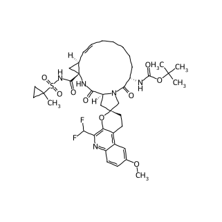 COc1ccc2nc(C(F)F)c3c(c2c1)CC[C@]1(C[C@H]2C(=O)N[C@]4(C(=O)NS(=O)(=O)C5(C)CC5)C[C@H]4/C=C\CCCCC[C@H](NC(=O)OC(C)(C)C)C(=O)N2C1)O3